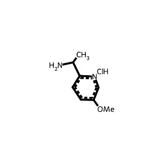 COc1ccc(C(C)N)nc1.Cl